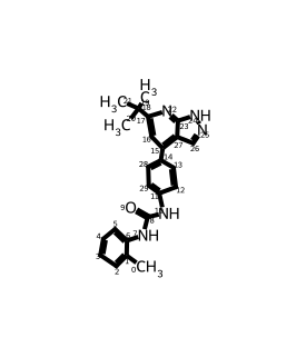 Cc1ccccc1NC(=O)Nc1ccc(-c2cc(C(C)(C)C)nc3[nH]ncc23)cc1